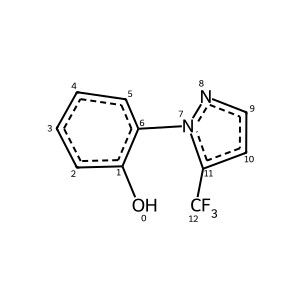 Oc1ccccc1-n1nccc1C(F)(F)F